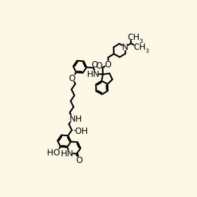 CC(C)N1CCC(COC(=O)C2(NC(=O)c3cccc(OCCCCCCNC[C@H](O)c4ccc(O)c5[nH]c(=O)ccc45)c3)CCc3ccccc32)CC1